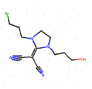 N#CC(C#N)=C1N(CCCO)CCN1CCCBr